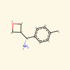 Cc1ccc([C@H](N)C2COC2)cc1